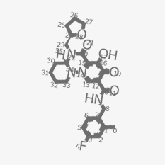 Cc1cc(F)ccc1CNC(=O)c1cn2c(c(O)c1=O)C(=O)N(C[C@H]1CCCO1)[C@@H]1CCCCN12